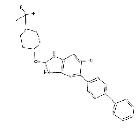 FC(F)(F)[C@H]1CC[C@H](OC2Nc3cc(Cl)c(-c4ccc(-c5ccccc5)cc4)nc3N2)CC1